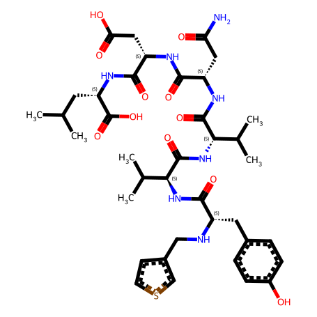 CC(C)C[C@H](NC(=O)[C@H](CC(=O)O)NC(=O)[C@H](CC(N)=O)NC(=O)[C@@H](NC(=O)[C@@H](NC(=O)[C@H](Cc1ccc(O)cc1)NCc1ccsc1)C(C)C)C(C)C)C(=O)O